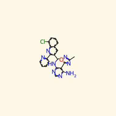 Cc1noc(-c2c(N)ncnc2NC(C)c2cc3cccc(Cl)c3nc2-c2ccccn2)n1